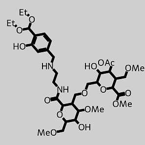 CCOC(OCC)c1ccc(CNCCNC(=O)C2OC(COC)C(O)C(OC)C2COCC2OC(C(=O)OC)C(COC)C(OC(C)=O)C2O)cc1O